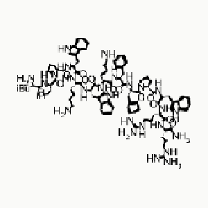 CC[C@H](C)[C@H](N)C(=O)N[C@@H](CC(C)C)C(=O)N1CCC[C@H]1C(=O)N[C@@H](Cc1c[nH]c2ccccc12)C(=O)N[C@@H](CCCCN)C(=O)N[C@@H](Cc1c[nH]c2ccccc12)C(=O)N[C@@H](CCCCN)C(=O)N[C@@H](Cc1ccccc1)C(=O)N[C@@H](Cc1ccccc1)C(=O)N1CCC[C@H]1C(=O)N[C@@H](Cc1c[nH]c2ccccc12)C(=O)N[C@@H](CCCNC(=N)N)C(=O)N[C@@H](CCCNC(=N)N)C(N)=O